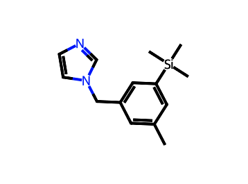 Cc1cc(Cn2ccnc2)cc([Si](C)(C)C)c1